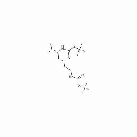 CC(C)[C@H](CCCCNC(=O)OC(C)(C)C)NC(=O)OC(C)(C)C